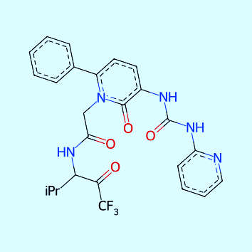 CC(C)C(NC(=O)Cn1c(-c2ccccc2)ccc(NC(=O)Nc2ccccn2)c1=O)C(=O)C(F)(F)F